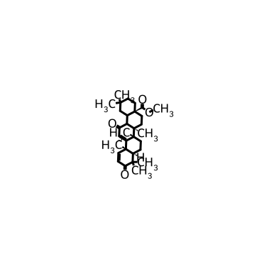 COC(=O)[C@]12CCC(C)(C)CC1C1C(=O)C=C3[C@@]4(C)C=CC(=O)C(C)(C)[C@@H]4CC[C@@]3(C)[C@]1(C)CC2